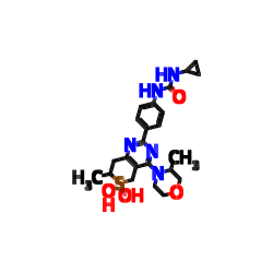 CC1COCCN1c1nc(-c2ccc(NC(=O)NC3CC3)cc2)nc2c1CS(O)(O)C(C)C2